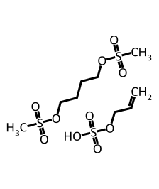 C=CCOS(=O)(=O)O.CS(=O)(=O)OCCCCOS(C)(=O)=O